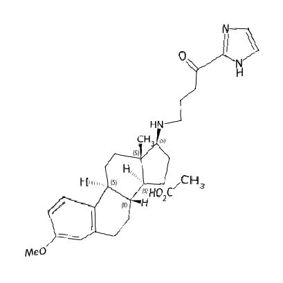 CC(=O)O.COc1ccc2c(c1)CC[C@@H]1[C@@H]2CC[C@]2(C)[C@@H](NCCCC(=O)c3ncc[nH]3)CC[C@@H]12